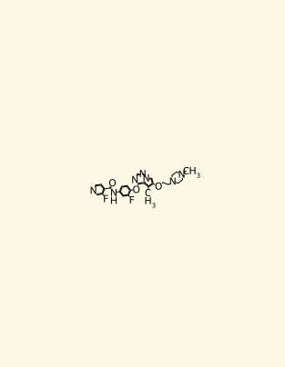 Cc1c(OCCN2CCN(C)CC2)cn2ncnc(Oc3ccc(NC(=O)c4ccncc4F)cc3F)c12